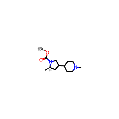 C[C@@H]1CC(C2CCN(C)CC2)CN1C(=O)OC(C)(C)C